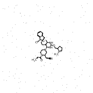 C=CC(=O)N1CCN(C2NC(OCC3CCCN3C)NC3C[C@@]4(CCC32)Cc2ccccc2C4Cl)CC1CC#N